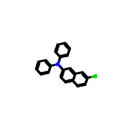 Clc1ccc2ccc(N(c3ccccc3)c3ccccc3)cc2c1